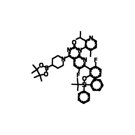 Cc1ccnc(C(C)C)c1-n1c(=O)nc(N2CCC(B3OC(C)(C)C(C)(C)O3)CC2)c2cc(F)c(-c3c(F)cccc3O[Si](c3ccccc3)(c3ccccc3)C(C)(C)C)nc21